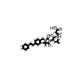 CC(C)C[C@@H](C(=O)N[C@H](C)CC(=O)O)N1C(=O)N(Cc2ccc(/C=C/c3ccccc3)cc2)C(C)(C)C1=O